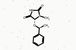 C[C@H](O[C@@H]1C(=O)NC(=O)N1C)c1ccccc1